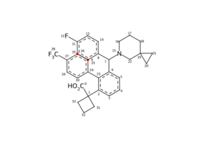 O=C(O)C1(c2cccc(C(c3ccc(F)cc3)N3CCCC4(CC4)C3)c2-c2ccc(C(F)(F)F)cc2)CCC1